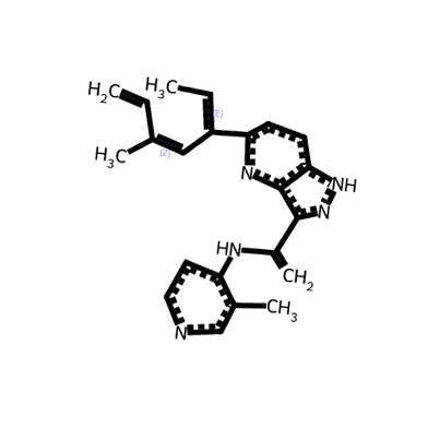 C=C/C(C)=C\C(=C/C)c1ccc2[nH]nc(C(=C)Nc3ccncc3C)c2n1